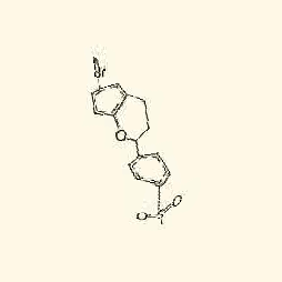 CS(=O)(=O)c1ccc(C2CCc3cc(Br)ccc3O2)cc1